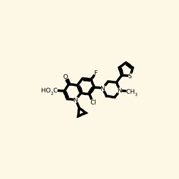 CN1CCN(c2c(F)cc3c(=O)c(C(=O)O)cn(C4CC4)c3c2Cl)CC1c1cccs1